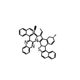 C#C/C=c1\c(=C/C)c2c(n1-c1nc3ccccc3nc1-c1cccc3ccccc13)C1Sc3ccc4ccccc4c3C1C1=C2C[C@@H](C)C=C1